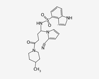 CC1CCN(C(=O)CCC(NS(=O)(=O)c2cccc3[nH]c[c]c23)n2cccc2C#N)CC1